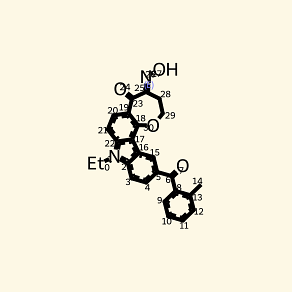 CCn1c2ccc(C(=O)c3ccccc3C)cc2c2c3c(ccc21)C(=O)/C(=N/O)CCO3